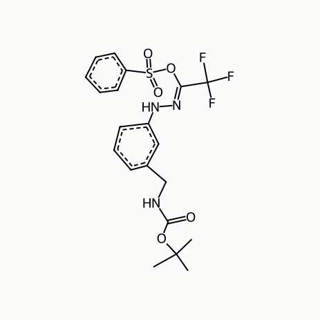 CC(C)(C)OC(=O)NCc1cccc(NN=C(OS(=O)(=O)c2ccccc2)C(F)(F)F)c1